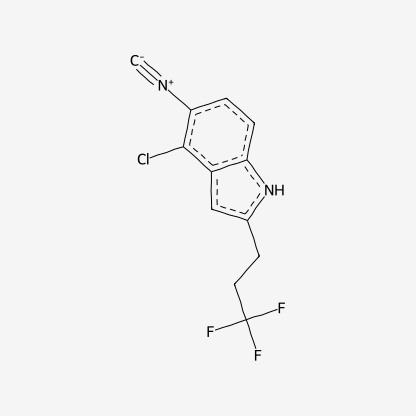 [C-]#[N+]c1ccc2[nH]c(CCC(F)(F)F)cc2c1Cl